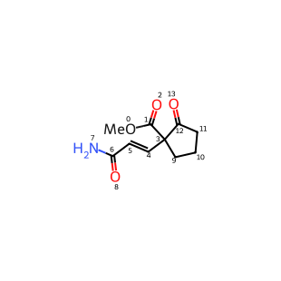 COC(=O)C1(C=CC(N)=O)CCCC1=O